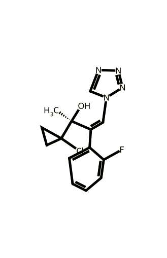 C[C@](O)(C(=Cn1cnnn1)c1ccccc1F)C1(Cl)CC1